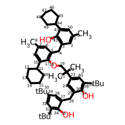 Cc1cc(Cc2cc(C)cc(C3CCCCC3)c2OCC(C)(C)c2cc(Cc3cc(C(C)(C)C)cc(C(C)(C)C)c3O)c(O)c(C(C)(C)C)c2)c(O)c(C2CCCCC2)c1